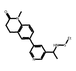 CCSNC(C)c1cncc(-c2ccc3c(c2)CCC(=O)N3C)c1